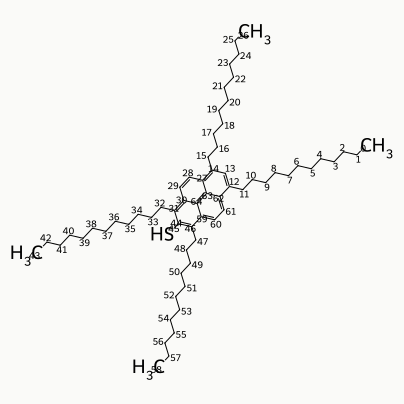 CCCCCCCCCCCCc1cc(CCCCCCCCCCCC)c2ccc3c(CCCCCCCCCCCC)c(S)c(CCCCCCCCCCCC)c4ccc1c2c43